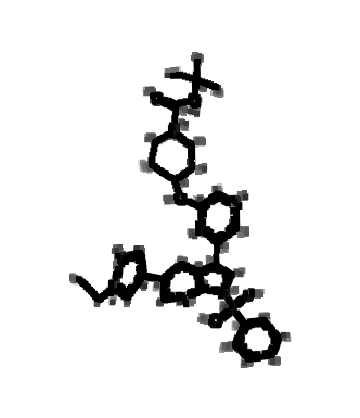 CCn1cc(-c2cnc3c(c2)c(-c2cncc(OC4CCN(C(=O)OC(C)(C)C)CC4)n2)cn3S(=O)(=O)c2ccccc2)cn1